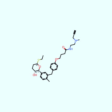 C#CCN(C)CCNC(=O)CCCOc1ccc(Cc2cc([C@@H]3O[C@H](SCC)CC[C@H]3O)ccc2C)cc1